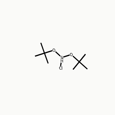 CC(C)(C)O[SiH](Cl)OC(C)(C)C